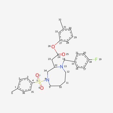 Cc1ccc(S(=O)(=O)N2CCCCN(Cc3ccc(F)cc3)C(CC(=O)Oc3cccc(C)c3)C2)cc1